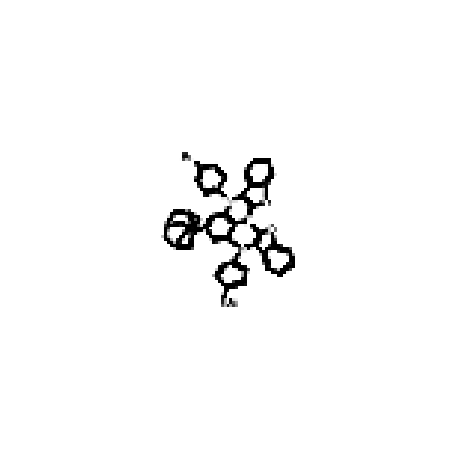 CC(C)(C)c1ccc(N2c3cc(C45CC6CC(CC(C6)C4)C5)cc4c3B(c3oc5ccccc5c32)c2oc3ccccc3c2N4c2ccc(C(C)(C)C)cc2)cc1